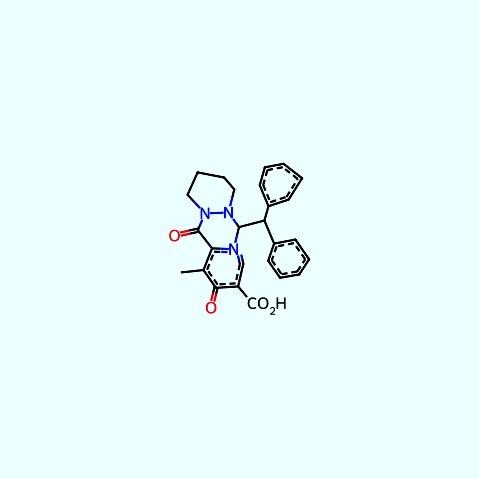 Cc1c2n(cc(C(=O)O)c1=O)C(C(c1ccccc1)c1ccccc1)N1CCCCN1C2=O